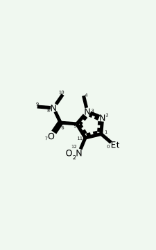 CCc1nn(C)c(C(=O)N(C)C)c1[N+](=O)[O-]